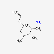 C=CCCCC(C)C(C)C(C)C.N